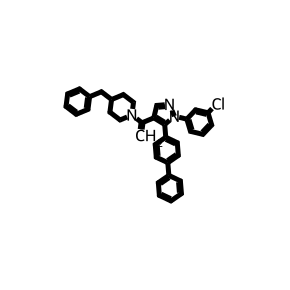 C=C(c1cnn(-c2cccc(Cl)c2)c1-c1ccc(-c2ccccc2)cc1)N1CCC(Cc2ccccc2)CC1